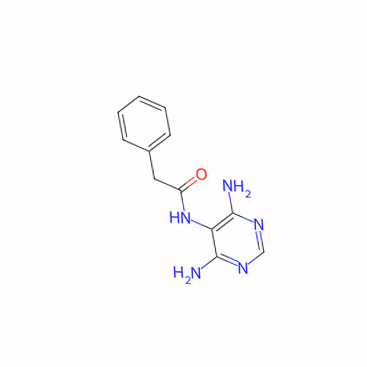 Nc1ncnc(N)c1NC(=O)Cc1ccccc1